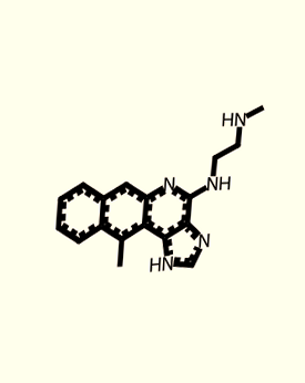 CNCCNc1nc2cc3ccccc3c(C)c2c2[nH]cnc12